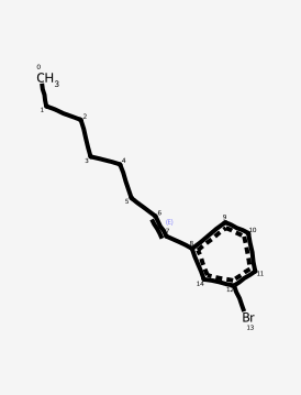 CCCCCC/C=C/c1cccc(Br)c1